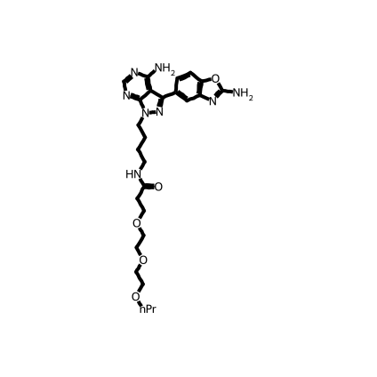 CCCOCCOCCOCCC(=O)NCCCCn1nc(-c2ccc3oc(N)nc3c2)c2c(N)ncnc21